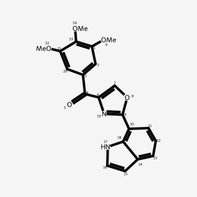 COc1cc(C(=O)c2coc(-c3cccc4cc[nH]c34)n2)cc(OC)c1OC